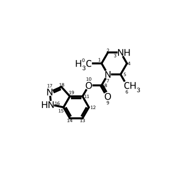 CC1CNCC(C)N1C(=O)Oc1cccc2[nH]ncc12